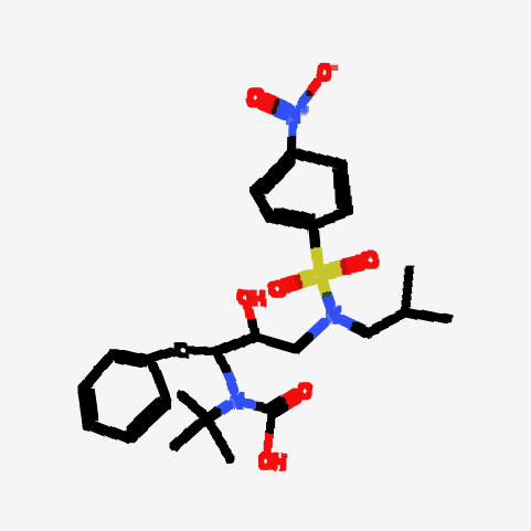 CC(C)CN(CC(O)C(Cc1ccccc1)N(C(=O)O)C(C)(C)C)S(=O)(=O)c1ccc([N+](=O)[O-])cc1